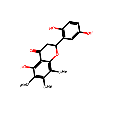 COc1c(O)c2c(c(OC)c1OC)OC(c1cc(O)ccc1O)CC2=O